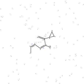 C=C(/C(Cl)=C\C=C/C)C1CC1